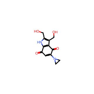 O=C1C=C(N2CC2)C(=O)c2c1[nH]c(CO)c2CO